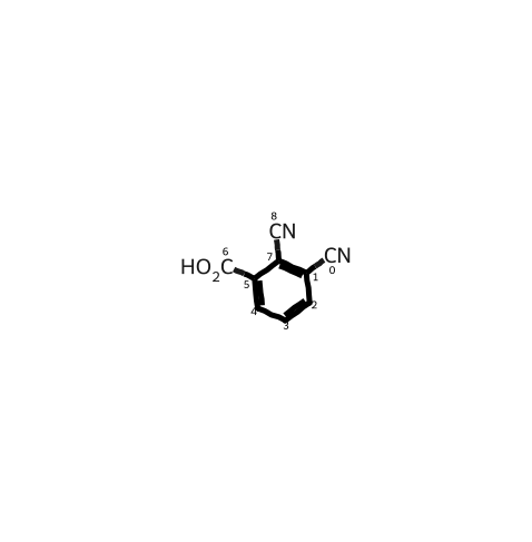 N#Cc1cccc(C(=O)O)c1C#N